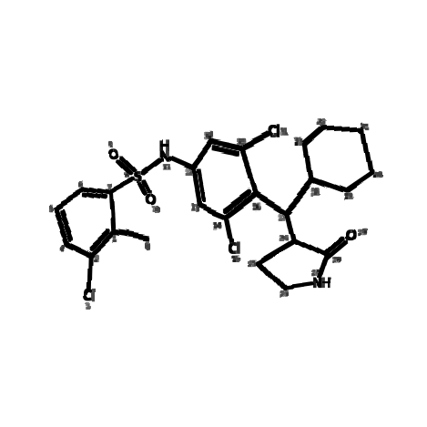 Cc1c(Cl)cccc1S(=O)(=O)Nc1cc(Cl)c(C(C2CCCCC2)C2CCNC2=O)c(Cl)c1